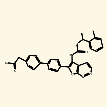 CC(OC(=O)Nc1c(-c2ccc(-c3ccc(CC(=O)O)cc3)cc2)oc2nnccc12)c1ccccc1Cl